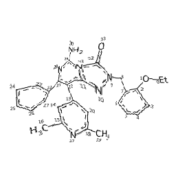 CCOc1ccccc1Cn1nc2c(-c3cc(C)nc(C)c3)c(-c3ccccc3)nc(N)n2c1=O